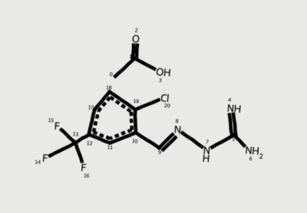 CC(=O)O.N=C(N)N/N=C/c1cc(C(F)(F)F)ccc1Cl